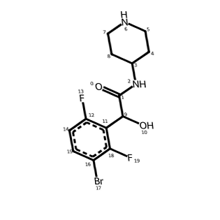 O=C(NC1CCNCC1)C(O)c1c(F)ccc(Br)c1F